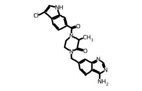 CC1C(=O)N(Cc2ccc3c(N)ncnc3c2)CCN1C(=O)c1ccc2c(Cl)c[nH]c2c1